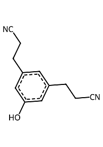 N#CCCc1cc(O)cc(CCC#N)c1